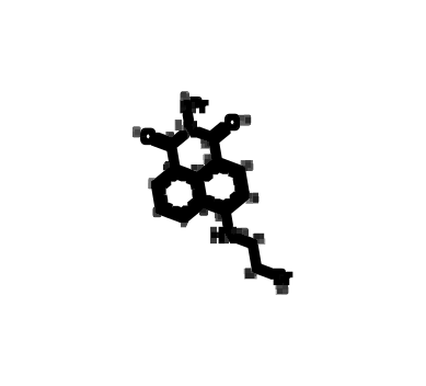 CCCN1C(=O)c2cccc3c(NCCBr)ccc(c23)C1=O